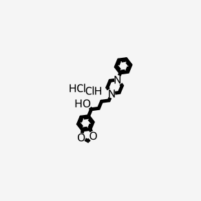 Cl.Cl.OC(CCCN1CCN(c2ccccc2)CC1)c1ccc2c(c1)OCO2